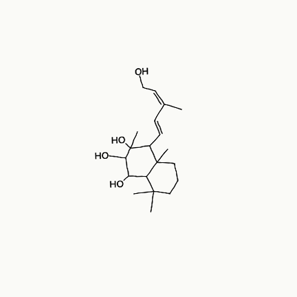 CC(=C/CO)/C=C/C1C(C)(O)C(O)C(O)C2C(C)(C)CCCC21C